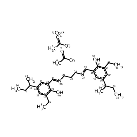 CC(=O)[O-].CC(=O)[O-].CCc1cc(C(C)CC)cc(C=NCCCN=Cc2cc(C(C)CC)cc(CC)c2O)c1O.[Co+2]